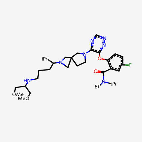 CCN(C(=O)c1cc(F)ccc1Oc1nncnc1N1CCC2(C1)CN(C(CCCNC(COC)COC)C(C)C)C2)C(C)C